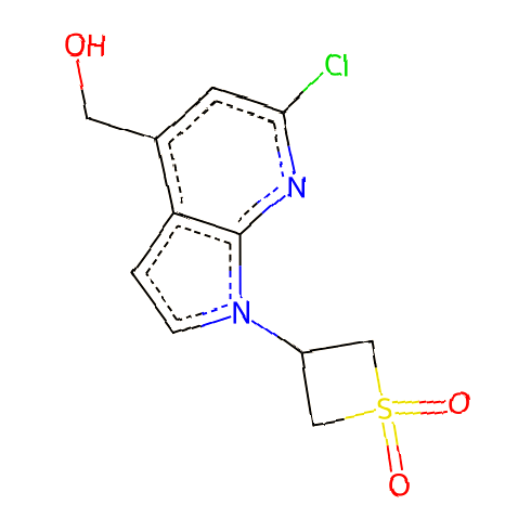 O=S1(=O)CC(n2ccc3c(CO)cc(Cl)nc32)C1